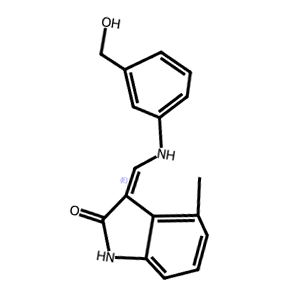 Cc1cccc2c1/C(=C\Nc1cccc(CO)c1)C(=O)N2